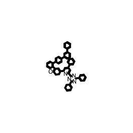 C1=CCCC(c2nc(-c3ccccc3)nc(-c3cc(-c4ccccc4)cc(C4=Cc5c(oc6cccc(-c7ccc(-c8cccc(-c9ccccc9)c8)cc7)c56)CC4)n3)n2)=C1